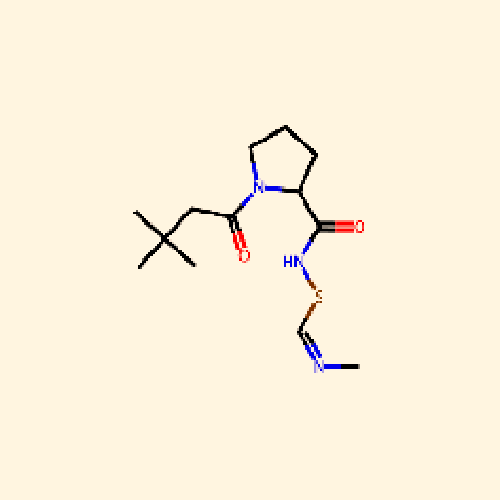 C/N=C\SNC(=O)C1CCCN1C(=O)CC(C)(C)C